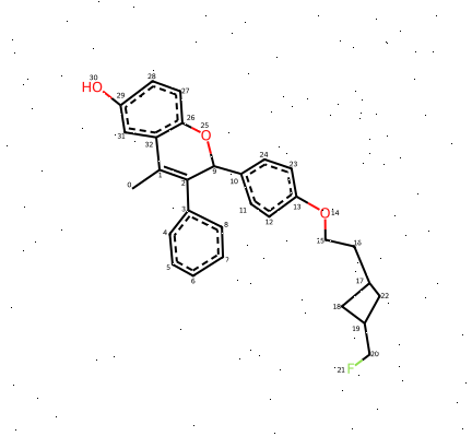 CC1=C(c2ccccc2)C(c2ccc(OCCC3CC(CF)C3)cc2)Oc2ccc(O)cc21